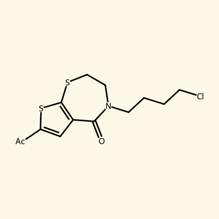 CC(=O)c1cc2c(s1)SCCN(CCCCCl)C2=O